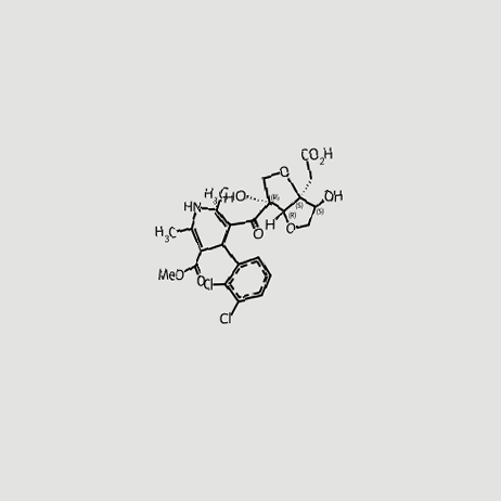 COC(=O)C1=C(C)NC(C)=C(C(=O)[C@@]2(O)CO[C@@]3(CC(=O)O)[C@@H](O)CO[C@@H]32)C1c1cccc(Cl)c1Cl